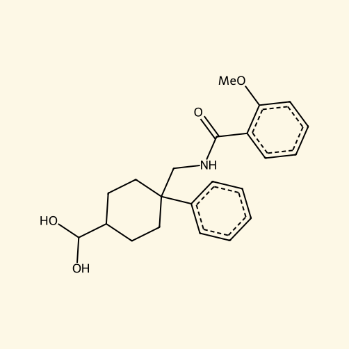 COc1ccccc1C(=O)NCC1(c2ccccc2)CCC(C(O)O)CC1